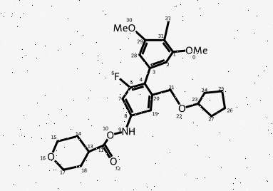 COc1cc(-c2c(F)cc(NOC(=O)C3CCOCC3)cc2COC2CCCC2)cc(OC)c1C